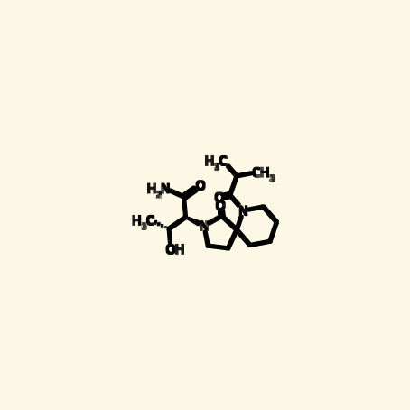 CC(C)C(=O)N1CCCCC12CCN([C@H](C(N)=O)[C@@H](C)O)C2=O